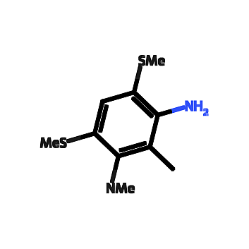 CNc1c(SC)cc(SC)c(N)c1C